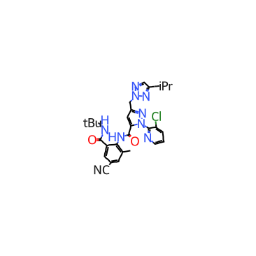 Cc1cc(C#N)cc(C(=O)NC(C)(C)C)c1NC(=O)c1cc(Cn2ncc(C(C)C)n2)nn1-c1ncccc1Cl